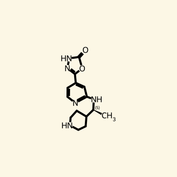 C[C@H](Nc1cc(-c2n[nH]c(=O)o2)ccn1)C1CCNCC1